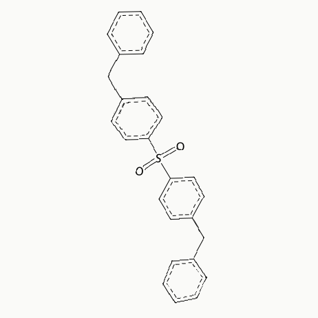 O=S(=O)(c1ccc(Cc2ccccc2)cc1)c1ccc(Cc2ccccc2)cc1